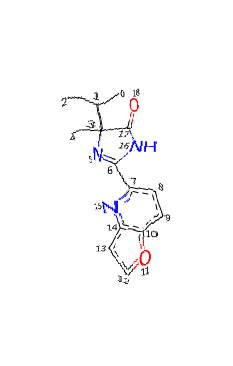 CC(C)C1(C)N=C(c2ccc3occc3n2)NC1=O